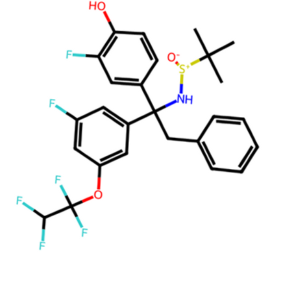 CC(C)(C)[S+]([O-])NC(Cc1ccccc1)(c1cc(F)cc(OC(F)(F)C(F)F)c1)c1ccc(O)c(F)c1